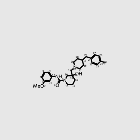 COc1cccc(NC(=O)N2CCCC(O)(CN3CCC(Cc4ccc(F)cc4)CC3)C2)c1